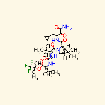 CC(C)[C@H](NC(=O)N[C@H](C(=O)N1C[C@H]2[C@@H]([C@H]1C(=O)NC(CC1CC1)C(=O)C(N)=O)C2(C)C)C(C)(C)C)C(=O)OC(C)(C)C(F)(F)F